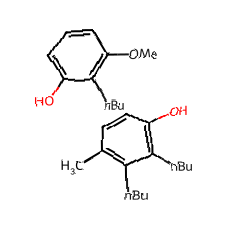 CCCCc1c(C)ccc(O)c1CCCC.CCCCc1c(O)cccc1OC